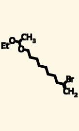 C=C(Br)CCCCCCCCOC(C)OCC